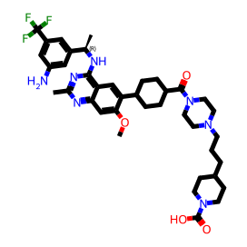 COc1cc2nc(C)nc(N[C@H](C)c3cc(N)cc(C(F)(F)F)c3)c2cc1C1CCC(C(=O)N2CCN(CCCC3CCN(C(=O)O)CC3)CC2)CC1